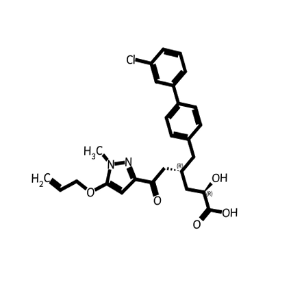 C=CCOc1cc(C(=O)C[C@H](Cc2ccc(-c3cccc(Cl)c3)cc2)C[C@@H](O)C(=O)O)nn1C